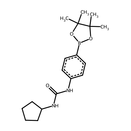 CC1(C)OB(c2ccc(NC(=O)NC3CCCC3)cc2)OC1(C)C